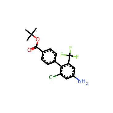 CC(C)(C)OC(=O)c1ccc(-c2c(Cl)cc(N)cc2C(F)(F)F)cc1